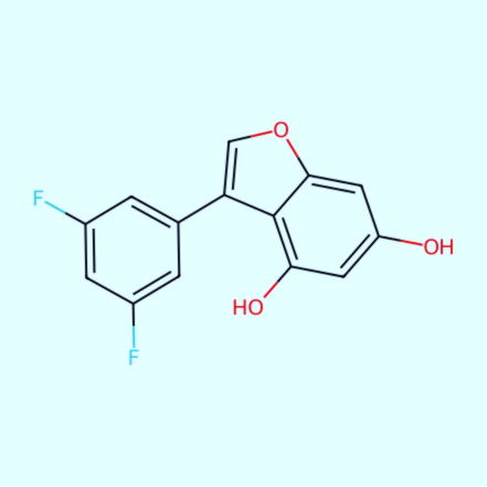 Oc1cc(O)c2c(-c3cc(F)cc(F)c3)coc2c1